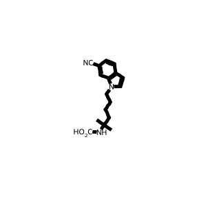 CC(C)(CCCCn1ccc2ccc(C#N)cc21)NC(=O)O